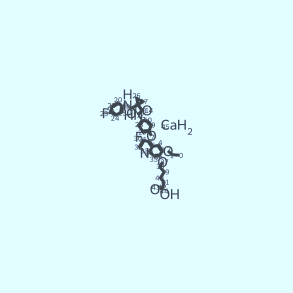 CCOc1cc2c(Oc3ccc(NC(=O)C4(C(=O)Nc5ccc(F)cc5)CC4)cc3F)ccnc2cc1OCCCCC(=O)O.[CaH2]